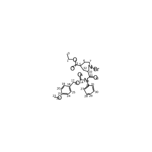 CCOC(=O)C1CCN(Br)C(C(=O)N(C(=O)OCc2ccc(OC)cc2)c2ccccc2)C1